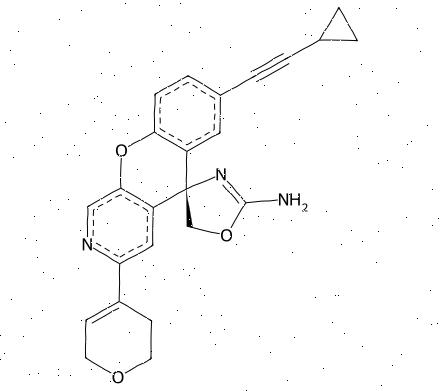 NC1=N[C@@]2(CO1)c1cc(C#CC3CC3)ccc1Oc1cnc(C3=CCOCC3)cc12